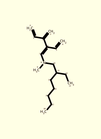 C=CC(=C)/C(C=C)=C/N(C)CC(CC)CCCCC